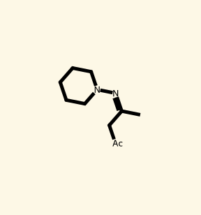 CC(=O)CC(C)=NN1CCCCC1